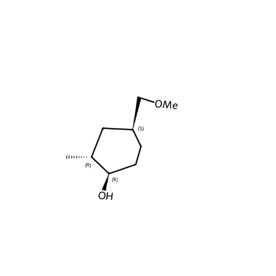 COC[C@H]1CC[C@@H](O)[C@H](C)C1